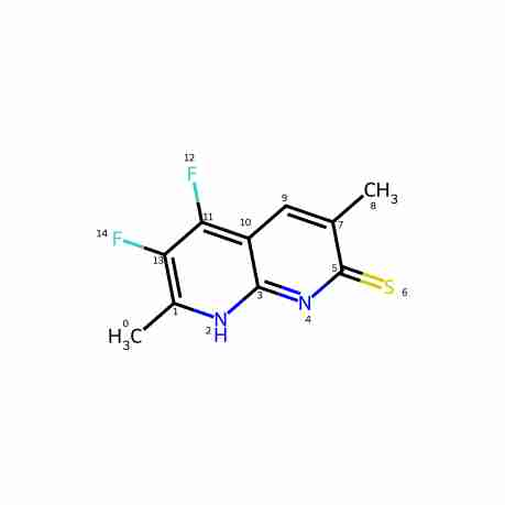 Cc1[nH]c2nc(=S)c(C)cc-2c(F)c1F